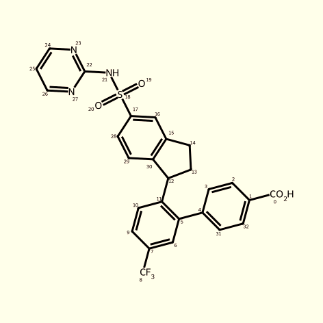 O=C(O)c1ccc(-c2cc(C(F)(F)F)ccc2C2CCc3cc(S(=O)(=O)Nc4ncccn4)ccc32)cc1